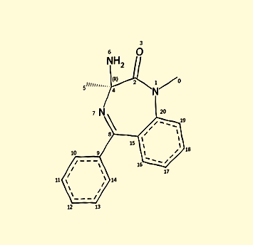 CN1C(=O)[C@](C)(N)N=C(c2ccccc2)c2ccccc21